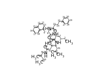 CCCC[C@H](NC(=O)[C@H](Cc1cccc2ccccc12)NC(=O)CCCc1ccccc1)C(=O)NC(CC(C)C)C(O)CC(=O)NCC(C)CC